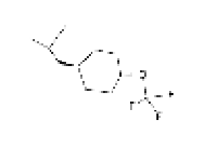 CC(C)C[C@H]1CC[C@H](OC(F)(F)F)CC1